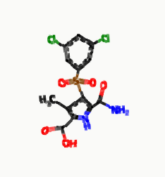 Cc1c(C(=O)O)[nH]c(C(N)=O)c1S(=O)(=O)c1cc(Cl)cc(Cl)c1